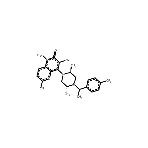 CC(c1ccc(C(F)(F)F)cc1)N1C[C@H](C)N(c2c(C#N)c(=O)n(C)c3ccc(C#N)nc23)C[C@H]1C